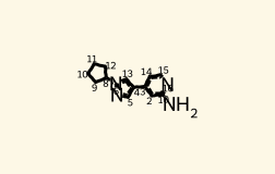 Nc1cc(-c2cnn(C3CCCC3)c2)ccn1